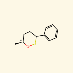 C[C@H]1CCC(c2ccccc2)SO1